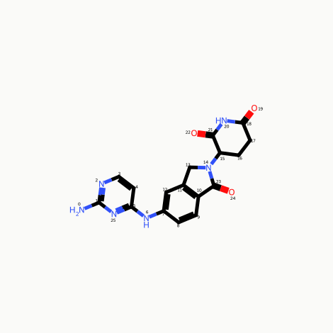 Nc1nccc(Nc2ccc3c(c2)CN(C2CCC(=O)NC2=O)C3=O)n1